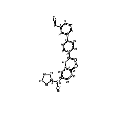 O=Cc1cccc(-c2ccc(C(=O)Cn3cc([S+]([O-])N4CCCC4)ccc3=O)cc2)c1